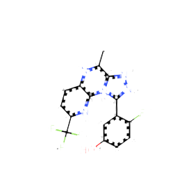 Cc1nc2ccc(C(F)(F)F)nc2n2c(-c3cc(O)ccc3F)nnc12